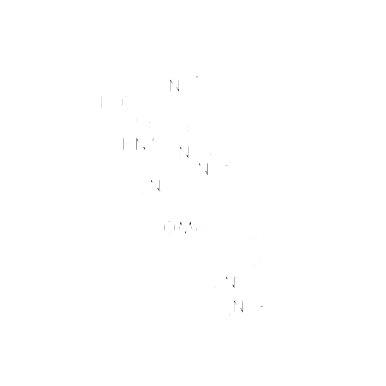 COc1nc(N[C@H](C)c2ccccn2)nn2ccc(-c3ccn4nccc4c3)c12